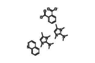 Cc1c[n+](C)c(N(C)C)n1C.Cc1c[n+](C)c(N(C)C)n1C.O=C([O-])c1ccccc1C(=O)[O-].c1ccc2ncccc2c1